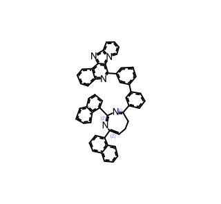 C1=C(c2cccc3ccccc23)/N=C(c2cccc3ccccc23)\N=C(\c2cccc(-c3cccc(-c4nc5ccccc5c5nc6ccccn6c45)c3)c2)CC\1